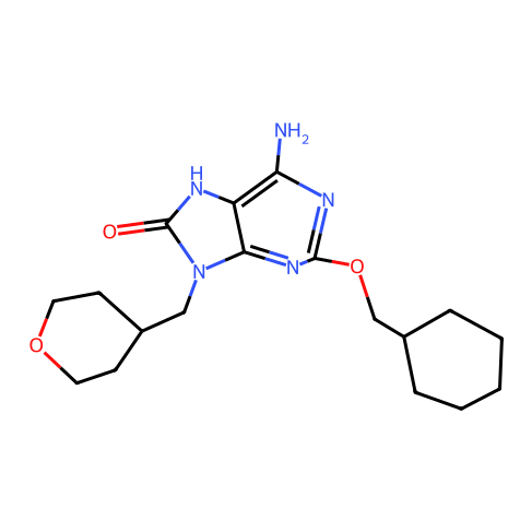 Nc1nc(OCC2CCCCC2)nc2c1[nH]c(=O)n2CC1CCOCC1